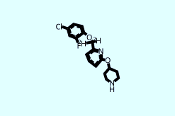 [2H]C([2H])(Oc1ccc(Cl)cc1F)c1cccc(OC2CCNCC2)n1